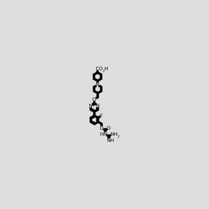 N=C(N)NC(=O)OCc1cccc(-c2cnc(OCC3CCN(C4CCC(C(=O)O)CC4)CC3)nc2)c1F